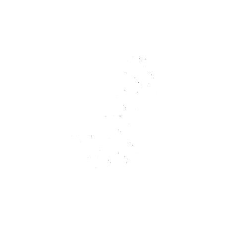 CC1CCC(C)N1c1ncnc2c1c(-c1cccc(Cl)c1Cl)cn2CC(=O)N1CCC(n2c(=O)[nH]c3ncccc32)CC1